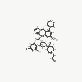 Cc1ccc(Cn2ccnc2NC(=O)[C@@H]2CN(C3(C)CCN(CCO)CC3)C[C@H]2c2ccc(F)cc2F)c(N2CCOCC2)c1